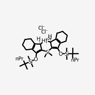 CCCC(C)(C)[Si](C)(C)OC1=C2[C@H]([Hf+2][C@H]3C4=C(CCCC4)C(O[Si](C)(C)C(C)(C)CCC)=C3[Si]2(C)C)C2=C1CCCC2.[Cl-].[Cl-]